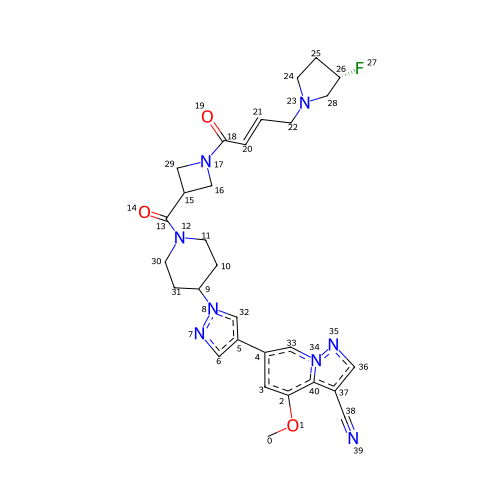 COc1cc(-c2cnn(C3CCN(C(=O)C4CN(C(=O)/C=C/CN5CC[C@H](F)C5)C4)CC3)c2)cn2ncc(C#N)c12